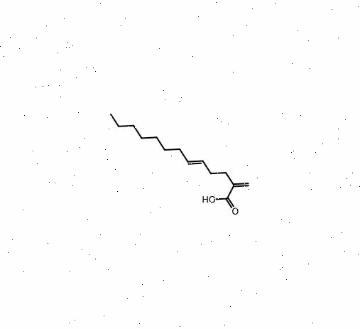 C=C(CCC=CCCCCCCC)C(=O)O